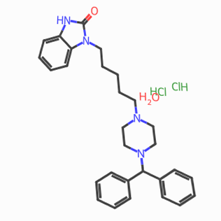 Cl.Cl.O.O=c1[nH]c2ccccc2n1CCCCCN1CCN(C(c2ccccc2)c2ccccc2)CC1